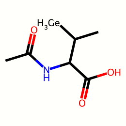 CC(=O)NC(C(=O)O)[CH](C)[GeH3]